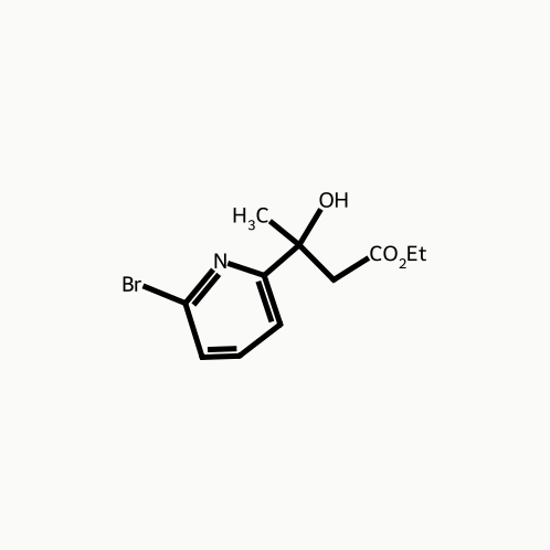 CCOC(=O)CC(C)(O)c1cccc(Br)n1